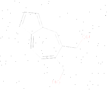 OCc1ccc2cccc-2cc1CO